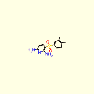 Cc1ccc(S(=O)(=O)c2ccc(N)nc2N)cc1C